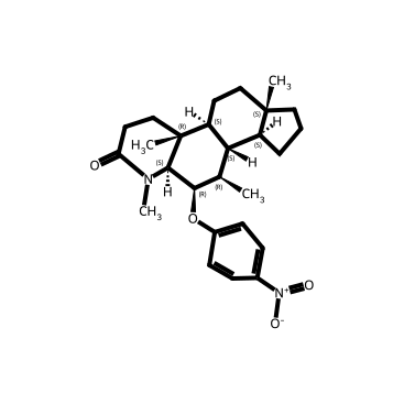 C[C@H]1[C@@H](Oc2ccc([N+](=O)[O-])cc2)[C@H]2N(C)C(=O)CC[C@]2(C)[C@H]2CC[C@]3(C)CCC[C@H]3[C@H]12